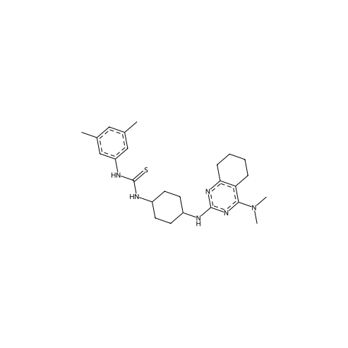 Cc1cc(C)cc(NC(=S)NC2CCC(Nc3nc4c(c(N(C)C)n3)CCCC4)CC2)c1